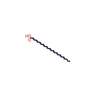 CCC/C=C/C=C/C=C/C=C/C=C/C=C/C=C/C=C/C=C/C=C/C(=O)O